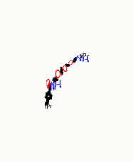 CC(C)C#Cc1ccc(C(=O)NCCOCCOCCOCCNC(C)C)cc1